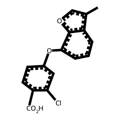 Cc1coc2c(Oc3ccc(C(=O)O)c(Cl)c3)cccc12